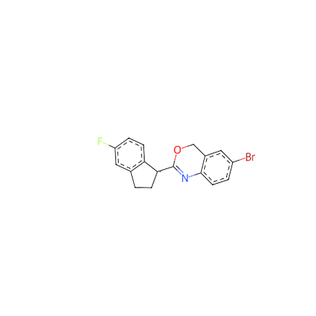 Fc1ccc2c(c1)CC[C]2C1=Nc2ccc(Br)cc2CO1